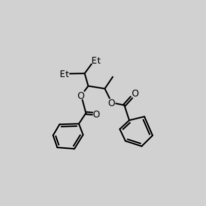 CCC(CC)C(OC(=O)c1ccccc1)C(C)OC(=O)c1ccccc1